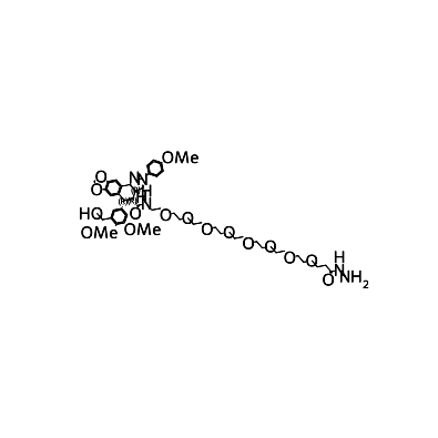 COc1ccc(N2C[C@@H]3C(=N2)c2cc4c(cc2[C@@H](c2cc(CO)c(OC)c(OC)c2)[C@H]3C(=O)NCCOCCOCCOCCOCCOCCOCCOCCOCCC(=O)NN)OCO4)cc1